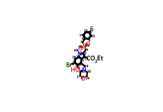 CCOC(=O)c1c(CS(=O)(=O)Cc2ccc(F)cc2)n(C)c2cc(Br)c(O)c(CN3CCOCC3)c12